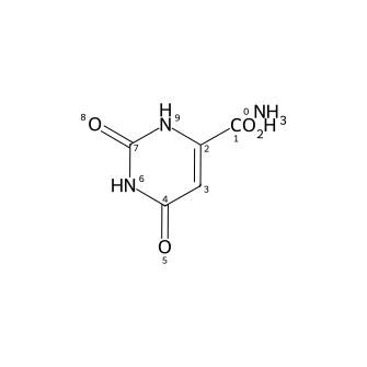 N.O=C(O)c1cc(=O)[nH]c(=O)[nH]1